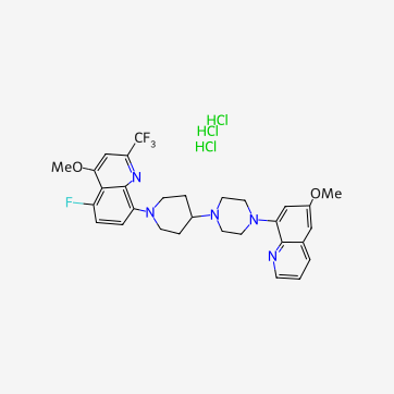 COc1cc(N2CCN(C3CCN(c4ccc(F)c5c(OC)cc(C(F)(F)F)nc45)CC3)CC2)c2ncccc2c1.Cl.Cl.Cl